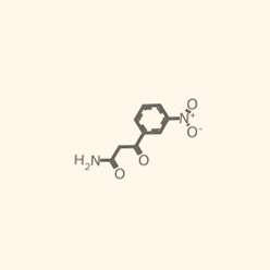 NC(=O)CC(=O)c1cccc([N+](=O)[O-])c1